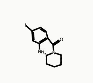 Nc1cc(I)ccc1C(=O)N1CCCCC1